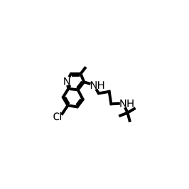 Cc1cnc2cc(Cl)ccc2c1NCCCNC(C)(C)C